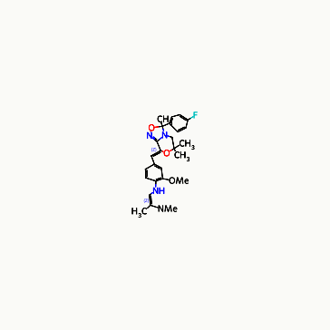 CN/C(C)=C\Nc1ccc(/C=C2\OC(C)(C)CN3C2=NOC3(C)c2ccc(F)cc2)cc1OC